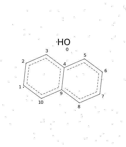 [OH].[c]1ccc2ccccc2c1